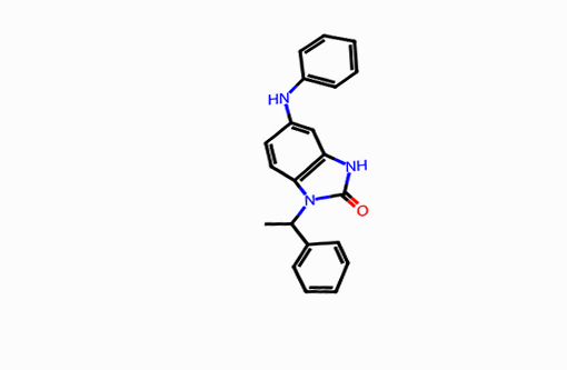 CC(c1ccccc1)n1c(=O)[nH]c2cc(Nc3ccccc3)ccc21